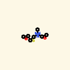 c1ccc(-c2nc(-c3ccc4c(c3)sc3cccc(-c5cccc6c5oc5ccccc56)c34)nc(-c3ccc4oc5ccccc5c4c3)n2)cc1